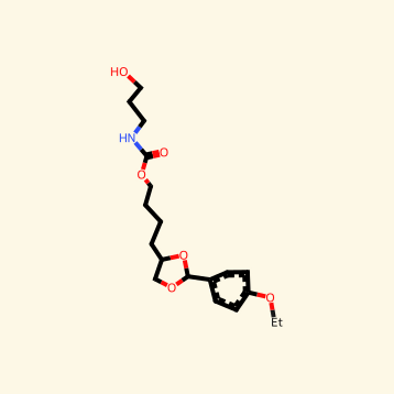 CCOc1ccc(C2OCC(CCCCOC(=O)NCCCO)O2)cc1